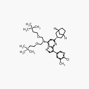 Cc1cc(-c2cnn3c(N(COCC[Si](C)(C)C)COCC[Si](C)(C)C)cc([C@H]4C[C@@H]5CC[C@@H](C5)C4)nc23)cnc1Cl